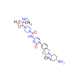 CCN(Cc1ccc(-n2ccc(NC(=O)N3CCN(C(=O)C(C)(C)N)CC3)nc2=O)cc1Cl)[C@H]1CC[C@H](N)CC1